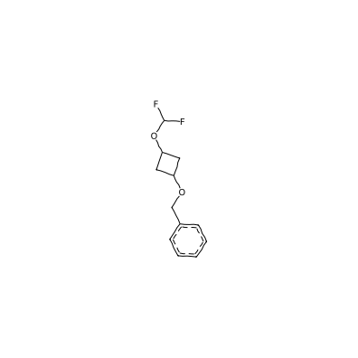 FC(F)OC1CC(OCc2ccccc2)C1